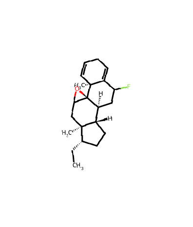 CC[C@H]1CC[C@H]2[C@@H]3CC(F)C4=CCC=C[C@]4(C)[C@]34OC4C[C@]12C